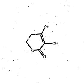 O=C1OCCC(O)=C1O